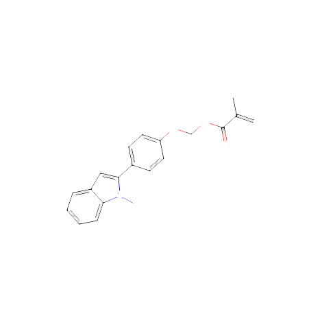 C=C(C)C(=O)OCOc1ccc(-c2cc3ccccc3n2CC)cc1